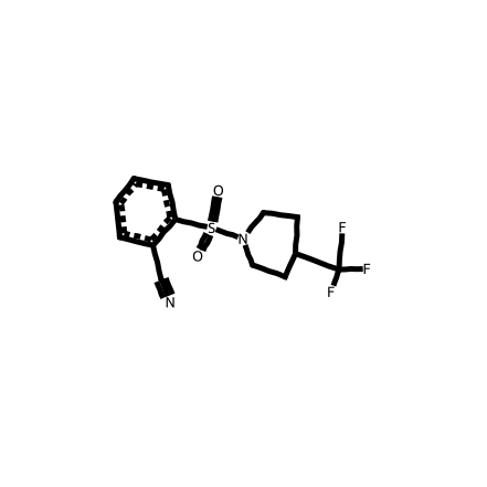 N#Cc1ccccc1S(=O)(=O)N1CCC(C(F)(F)F)CC1